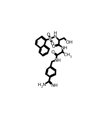 CC(NC(=O)C(CO)NS(=O)(=O)c1cccc2ccccc12)C(=O)NCc1ccc(C(=N)N)cc1